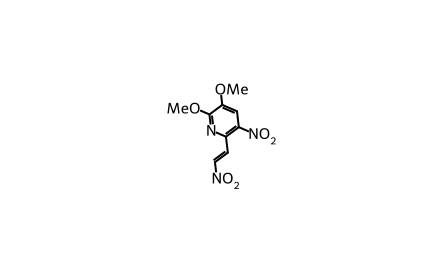 COc1cc([N+](=O)[O-])c(C=C[N+](=O)[O-])nc1OC